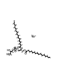 CCCCCCCCCCCCCCCC(=O)OC[C@H](COP(=O)([O-])OCC(O)CO)OC(=O)CCCCCCCCCCCCCCC.[Na+]